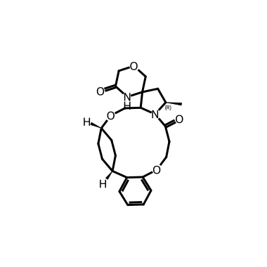 C[C@@H]1CC2(COCC(=O)N2)C2CO[C@H]3CC[C@H](CC3)c3ccccc3OCCC(=O)N21